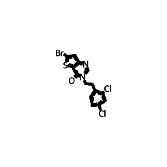 O=c1c2sc(Br)cc2ncn1CCc1ccc(Cl)cc1Cl